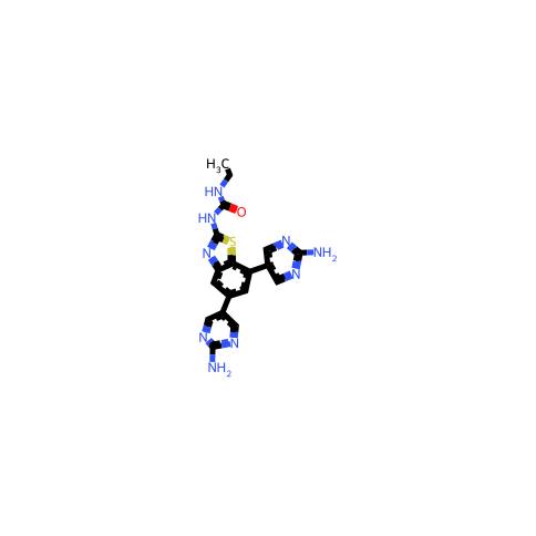 CCNC(=O)Nc1nc2cc(-c3cnc(N)nc3)cc(-c3cnc(N)nc3)c2s1